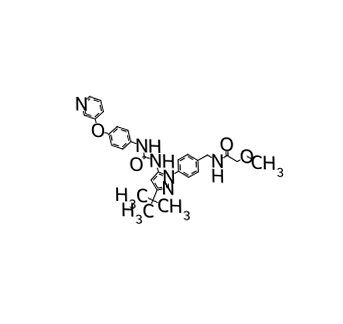 COCC(=O)NCc1ccc(-n2nc(C(C)(C)C)cc2NC(=O)Nc2ccc(Oc3cccnc3)cc2)cc1